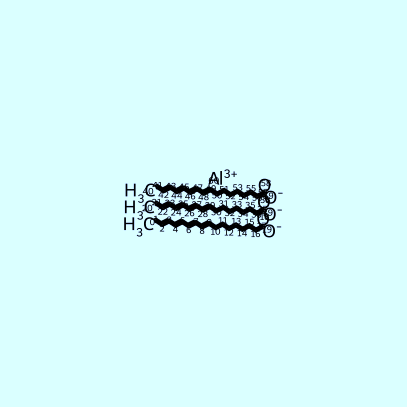 CCC=CC=CC=CC=CCCCCCCCC(=O)[O-].CCC=CC=CC=CC=CCCCCCCCC(=O)[O-].CCC=CC=CC=CC=CCCCCCCCC(=O)[O-].[Al+3]